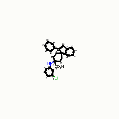 O=C(O)C1(Nc2cccc(Cl)c2)CCC2(CC1)C(c1ccccc1)=Cc1ccccc12